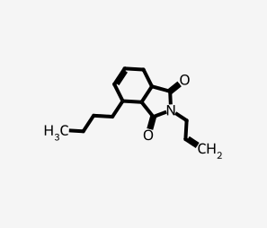 C=CCN1C(=O)C2CC=CC(CCCC)C2C1=O